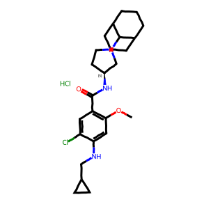 COc1cc(NCC2CC2)c(Cl)cc1C(=O)N[C@H]1CCN(C2C3CCCC2CCC3)C1.Cl